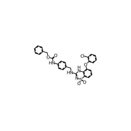 O=C(Nc1ccc(CNC2=NS(=O)(=O)c3cccc(Oc4ccccc4Cl)c3N2)cc1)OCc1ccccc1